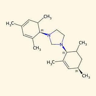 CC1=CC(C)[C@@H](N2CCN([C@@H]3C(C)=C[C@H](C)CC3C)C2)C(C)=C1